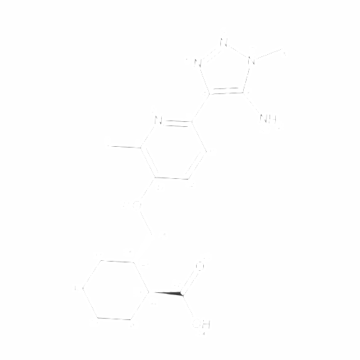 Cc1nc(-c2nnn(C)c2N)ccc1OC[C@H]1CCCC[C@@H]1C(=O)O